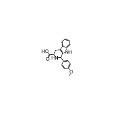 COc1ccc(C2NC(C(=O)O)Cc3c2[nH]c2ccccc32)cc1